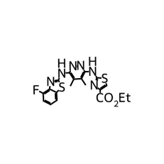 CCOC(=O)c1csc(Nc2nnc(Nc3nc4c(F)cccc4s3)c(C)c2C)n1